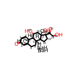 C[C@]12C=CC(=O)C=C1CC[C@@H]1[C@@H]2[C@@H](O)C[C@@]2(C)[C@H]1CC[C@]2(O)C(=O)CO.[NaH].[NaH]